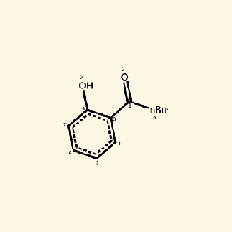 CCC[CH]C(=O)c1ccccc1O